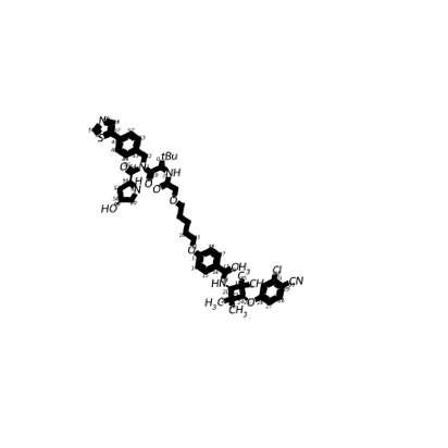 CC(C)(C)C(NC(=O)COCCCCCOc1ccc(C(=O)N[C@H]2C(C)(C)[C@H](Oc3ccc(C#N)c(Cl)c3)C2(C)C)cc1)C(=O)N(Cc1ccc(-c2cncs2)cc1)C(=O)[C@@H]1C[C@@H](O)CN1